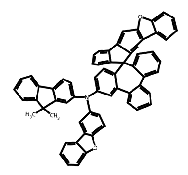 CC1(C)c2ccccc2-c2ccc(N(c3ccc4c(c3)-c3ccccc3-c3ccccc3C43c4ccccc4-c4cc5oc6ccccc6c5cc43)c3ccc4oc5ccccc5c4c3)cc21